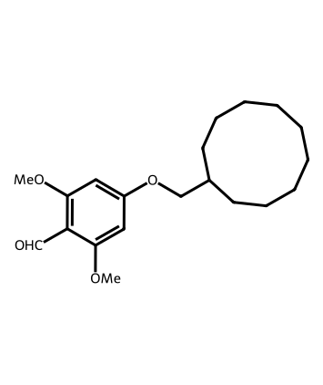 COc1cc(OCC2CCCCCCCCC2)cc(OC)c1C=O